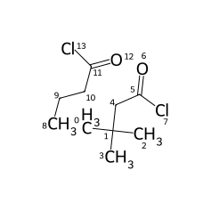 CC(C)(C)CC(=O)Cl.CCCC(=O)Cl